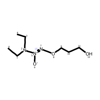 CCN(CC)/[N+]([O-])=N/OCCCO